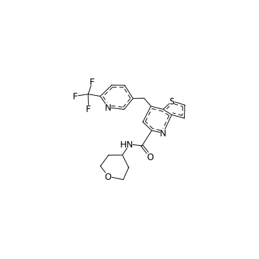 O=C(NC1CCOCC1)c1cc(Cc2ccc(C(F)(F)F)nc2)c2sccc2n1